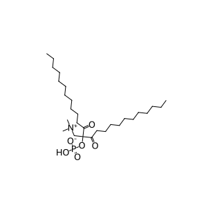 CCCCCCCCCCCC(=O)C(C[N+](C)(C)C)(OP(=O)([O-])O)C(=O)CCCCCCCCCCC